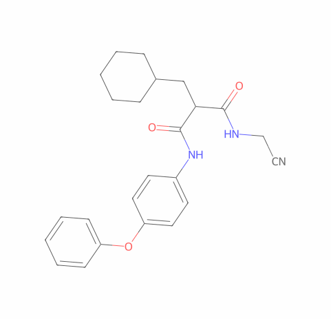 N#CCNC(=O)C(CC1CCCCC1)C(=O)Nc1ccc(Oc2ccccc2)cc1